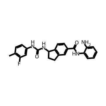 Cc1ccc(NC(=O)NC2CCc3cc(C(=O)Nc4ccccc4N)ccc32)cc1F